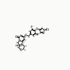 CCn1cc(Oc2c(F)cc(COc3cc4n(c(=O)n3)C[C@@H]3COCCN43)cc2F)cn1